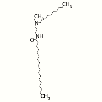 CCCCCCCCCCCCCCCCCC(=O)NCCCN(CC)CCCCCCCCCC